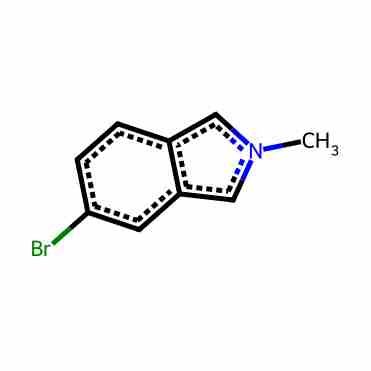 Cn1cc2ccc(Br)cc2c1